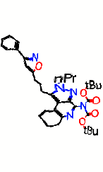 CCCn1nc2c(N(C(=O)OC(C)(C)C)C(=O)OC(C)(C)C)nc3c(c2c1CCCc1cc(-c2ccccc2)no1)CCCC3